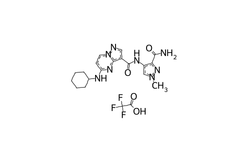 Cn1cc(NC(=O)c2cnn3ccc(NC4CCCCC4)nc23)c(C(N)=O)n1.O=C(O)C(F)(F)F